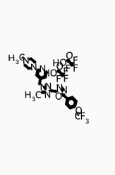 Cc1nc(-c2nnc(-c3ccc(OC(F)(F)F)cc3)o2)nn1Cc1ccnc(N2CCN(C)CC2)c1.O=C(O)C(F)(F)F.O=C(O)C(F)(F)F